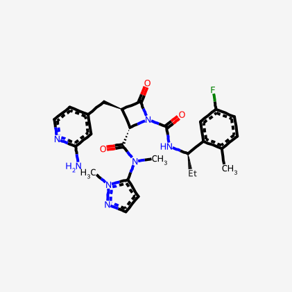 CC[C@@H](NC(=O)N1C(=O)[C@H](Cc2ccnc(N)c2)[C@H]1C(=O)N(C)c1ccnn1C)c1cc(F)ccc1C